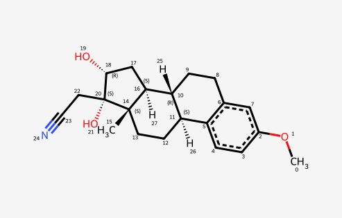 COc1ccc2c(c1)CC[C@@H]1[C@@H]2CC[C@@]2(C)[C@H]1C[C@@H](O)[C@]2(O)CC#N